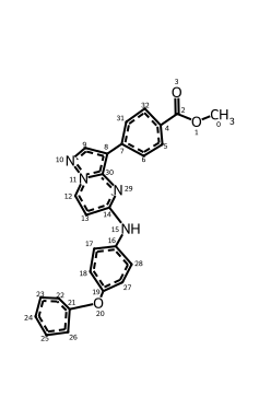 COC(=O)c1ccc(-c2cnn3ccc(Nc4ccc(Oc5ccccc5)cc4)nc23)cc1